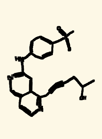 CC(O)CC#Cc1nccc2cnc(Nc3ccc(S(C)(=O)=O)cc3)cc12